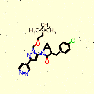 C[Si](C)(C)CCOCn1nc(-c2ccnnc2)cc1N1C(=O)C(Cc2ccc(Cl)cc2)C2CC21